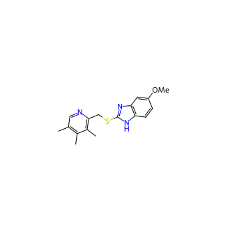 COc1ccc2[nH]c(SCc3ncc(C)c(C)c3C)nc2c1